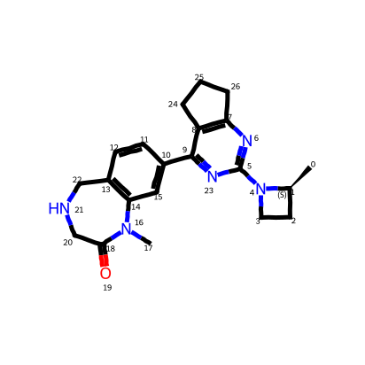 C[C@H]1CCN1c1nc2c(c(-c3ccc4c(c3)N(C)C(=O)CNC4)n1)CCC2